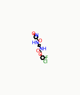 Cn1cc(C(=O)NC23CC(NC(=O)COc4ccc(Cl)c(F)c4)(C2)C3)ccc1=O